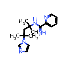 CC(C)(CC(C)(C)n1ccnc1)NC(=N)c1ccccn1